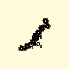 O=C(NS(=O)(=O)c1ccc(NCC2CCN(Cc3ccccc3)CC2)c([N+](=O)[O-])c1)c1ccc(N2CCN(Cc3ccccc3-c3ccccc3)CC2)cc1